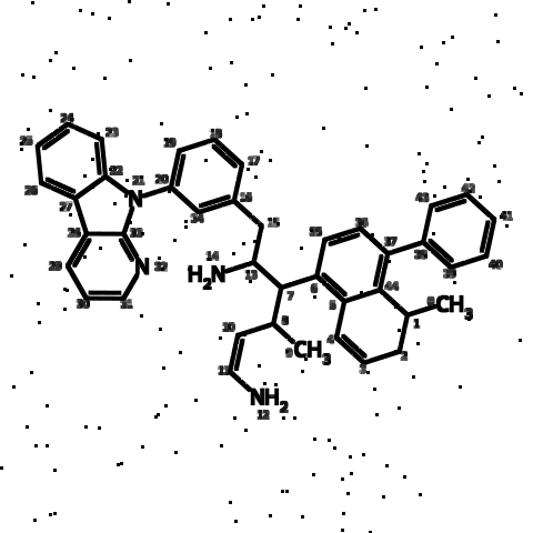 CC1CC=Cc2c(C(C(C)/C=C\N)C(N)Cc3cccc(-n4c5ccccc5c5cccnc54)c3)ccc(-c3ccccc3)c21